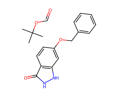 CC(C)(C)OC=O.O=c1[nH][nH]c2cc(OCc3ccccc3)ccc12